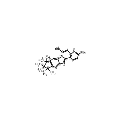 CC(C)(C)c1ccc2c(cc(C(C)(C)C)n3c4cc5c(cc4nc23)C(C)(C)C(C)(C)C5(C)C)n1